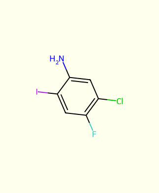 Nc1cc(Cl)c(F)cc1I